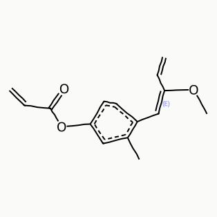 C=CC(=O)Oc1ccc(/C=C(\C=C)OC)c(C)c1